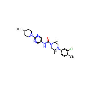 C[C@@H]1CN(c2ccc(C#N)c(Cl)c2)[C@@H](C)CN1C(=O)Nc1cnc(N2CCC(C=O)CC2)nc1